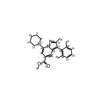 COC(=O)c1cc(N2CCCCC2)n2nc(C)c(-c3c(C)cccc3C)c2n1